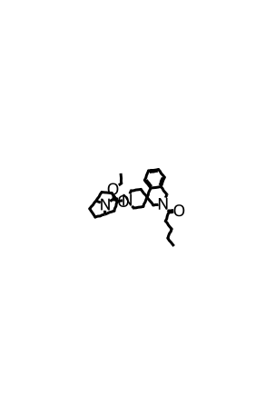 CCCCC(=O)N1Cc2ccccc2C2(CCN(C3CCC4CCC(C3)N4C(=O)OCC)CC2)C1